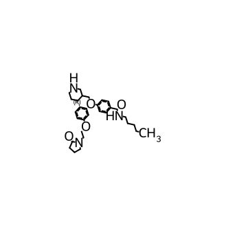 CCCCCNC(=O)c1ccc(OCC2CNCC[C@H]2c2ccc(OCCN3CCCC3=O)cc2)cc1